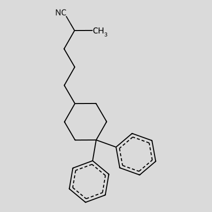 CC(C#N)CCCC1CCC(c2ccccc2)(c2ccccc2)CC1